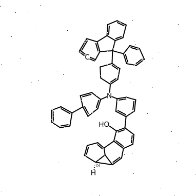 Oc1c(-c2cccc(N(C3=CC=C(C4(c5ccccc5)C5=C(C=C=C=C5)c5ccccc54)CC3)c3ccc(-c4ccccc4)cc3)c2)ccc2c1C1=CC=C[C@@H]3C(=C2)C13